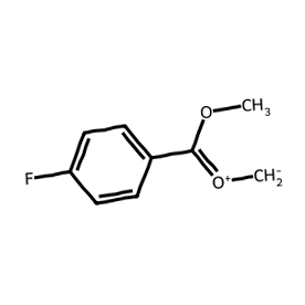 [CH2-]/[O+]=C(\OC)c1ccc(F)cc1